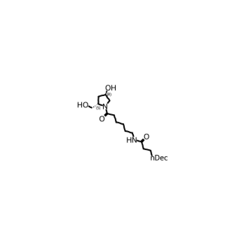 CCCCCCCCCCCCC(=O)NCCCCCC(=O)N1C[C@H](O)C[C@H]1CO